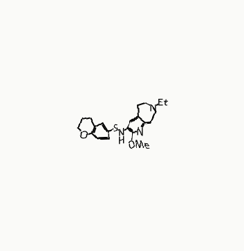 CCN1CCc2cc(NSc3ccc4c(c3)CCCO4)c(OC)nc2CC1